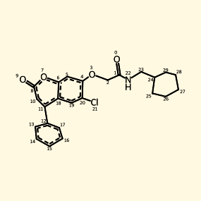 O=C(COc1cc2oc(=O)cc(-c3ccccc3)c2cc1Cl)NCC1CCCCC1